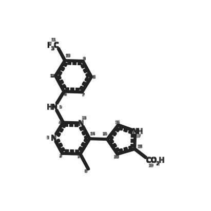 Cc1cnc(Nc2cccc(C(F)(F)F)c2)nc1-c1c[nH]c(C(=O)O)c1